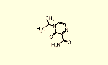 CC(C)n1ccnc(C(N)=O)c1=O